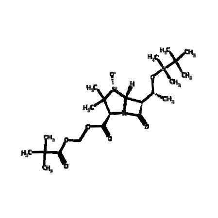 C[C@@H](O[Si](C)(C)C(C)(C)C)[C@@H]1C(=O)N2[C@@H]1[S@@+]([O-])C(C)(C)[C@@H]2C(=O)OCOC(=O)C(C)(C)C